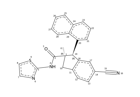 C[C@@]1(C(=O)Nc2nccs2)Cc2ccc(C#N)cc2[C@@H]1c1cccc2ccccc12